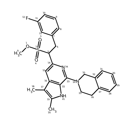 COS(=O)(=O)C(Cc1cccc(F)c1)c1cc2c(C)c(C)[nH]c2c(N2CCc3ccccc3C2)n1